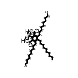 CCCCCCCCCCc1c(CCCCCCCCCC)c(C(=O)O)c(C(=O)O)c(C(=O)O)c1CCCCCCCCCC